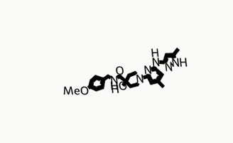 COc1ccc(CNC(=O)C2(O)CCN(c3cc(C)cc(Nc4cc(C)[nH]n4)n3)CC2)cc1